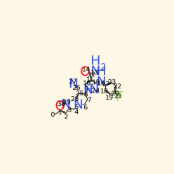 Cc1cc(CN2CC[C@H](n3cc(C(N)=O)c(Nc4ccc(F)cc4)n3)[C@@H](C#N)C2)no1